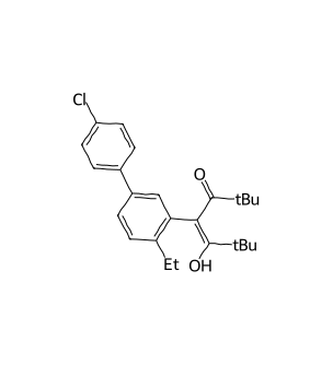 CCc1ccc(-c2ccc(Cl)cc2)cc1/C(C(=O)C(C)(C)C)=C(\O)C(C)(C)C